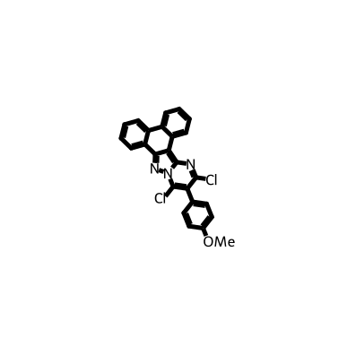 COc1ccc(-c2c(Cl)nc3c4c5ccccc5c5ccccc5c4nn3c2Cl)cc1